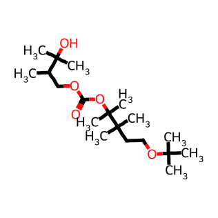 CC(COC(=O)OC(C)(C)C(C)(C)CCOC(C)(C)C)C(C)(C)O